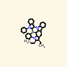 C=Cc1c(/C=C\C)n2c3c4c5c(cc13)c1ccccc1n5-c1c(n(-c3ccccc3)c3ccccc13)B4c1ccccc1-2